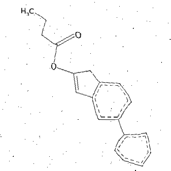 CCCC(=O)OC1=Cc2cc(-c3ccccc3)ccc2C1